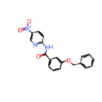 O=C(Nc1ccc([N+](=O)[O-])cn1)c1cccc(OCc2ccccc2)c1